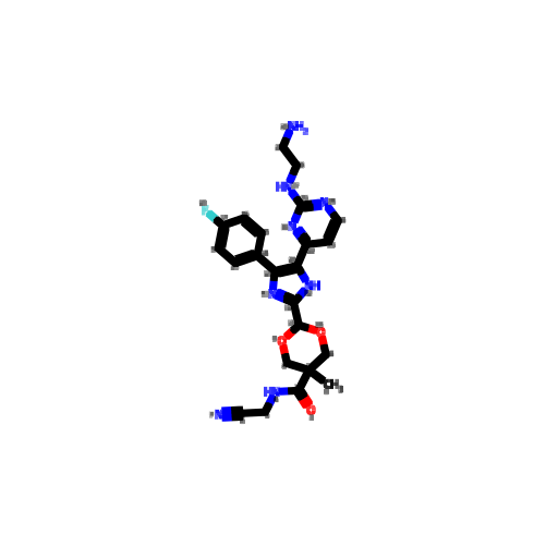 CC1(C(=O)NCC#N)COC(c2nc(-c3ccc(F)cc3)c(-c3ccnc(NCCN)n3)[nH]2)OC1